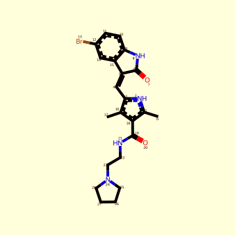 Cc1[nH]c(C=C2C(=O)Nc3ccc(Br)cc32)c(C)c1C(=O)NCCN1CCCC1